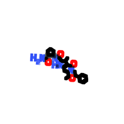 CCc1cc2c(c(C)c(C(=O)N[C@H]3CCC[C@H]3C(N)=O)n2C)c(=O)n1CC(=O)c1ccccc1